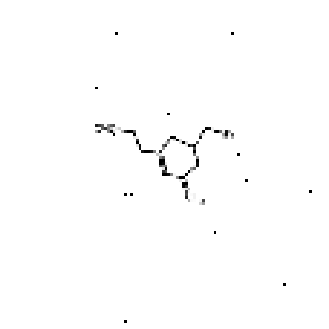 C=C1C=C(CCC=O)CC(CC(C)C)C1